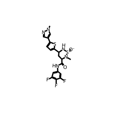 CN1C(C(=O)Nc2cc(F)c(F)c(F)c2)CC(c2ccc(-c3cnn(C)c3)s2)N[S+]1[O-]